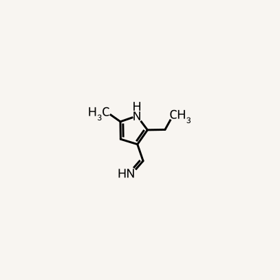 CCc1[nH]c(C)cc1C=N